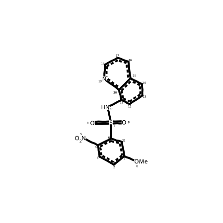 COc1ccc([N+](=O)[O-])c(S(=O)(=O)Nc2cccc3cccnc23)c1